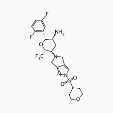 N[C@H]1C[C@@H](N2Cc3cn(S(=O)(=O)C4CCOCC4)nc3C2)[C@H](C(F)(F)F)O[C@@H]1c1cc(F)ccc1F